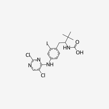 CC(C)(C)C(Cc1ccc(Nc2nc(Cl)ncc2Cl)cc1I)NC(=O)O